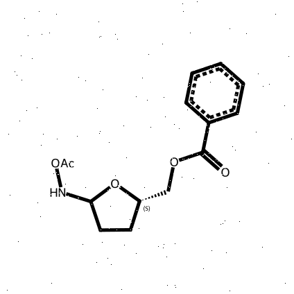 CC(=O)ONC1CC[C@@H](COC(=O)c2ccccc2)O1